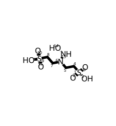 O=S(=O)(O)CCN(CCS(=O)(=O)O)NO